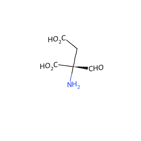 N[C@@](C=O)(CC(=O)O)C(=O)O